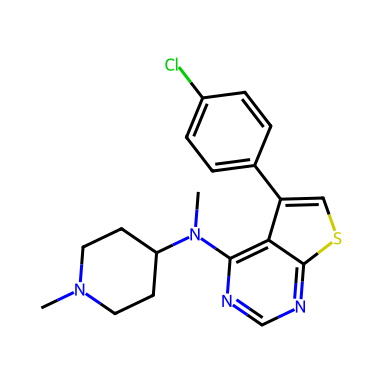 CN1CCC(N(C)c2ncnc3scc(-c4ccc(Cl)cc4)c23)CC1